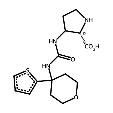 O=C(NC1CCN[C@@H]1C(=O)O)NC1(c2cccs2)CCOCC1